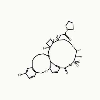 C[C@@H]1[C@@H](C)CCC[C@@](O)(CC(=O)N2CCCC2)[C@@H]2CC[C@H]2CN2CCCCc3cc(Cl)ccc3COc3ccc(cc32)C(=O)NS1(=O)=O